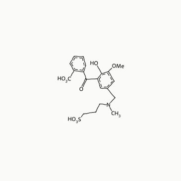 COc1cc(CN(C)CCCS(=O)(=O)O)cc(C(=O)c2ccccc2C(=O)O)c1O